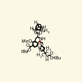 COc1c(CC(NC(=O)Cn2cc(C(C)(C)NC(=O)OC(C)(C)C)nn2)B2O[C@@H]3C[C@@H]4C[C@@H](C4(C)C)[C@]3(C)O2)cccc1C(=O)OC(C)(C)C